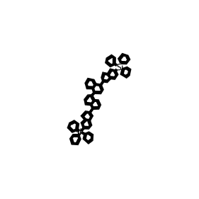 c1ccc([Si](c2ccccc2)(c2ccccc2)c2ccc3cc(-c4cccc5c(-c6ccc(-c7ccc8cc([Si](c9ccccc9)(c9ccccc9)c9ccccc9)ccc8c7)c7ccccc67)cccc45)ccc3c2)cc1